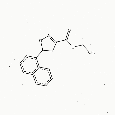 CCOC(=O)C1=NOC(c2cccc3ccccc23)C1